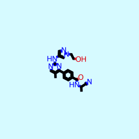 Cc1cnc(Nc2cnn(CCO)c2)nc1-c1ccc(C(=O)NC(C)C#N)cc1